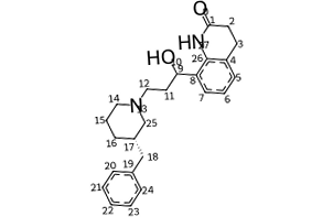 O=C1CCc2cccc(C(O)CCN3CCC[C@@H](Cc4ccccc4)C3)c2N1